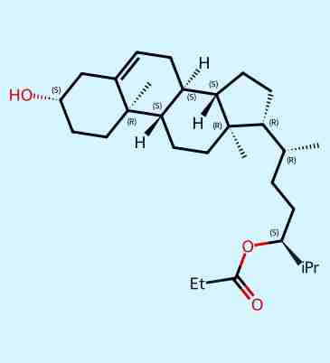 CCC(=O)O[C@@H](CC[C@@H](C)[C@H]1CC[C@H]2[C@@H]3CC=C4C[C@@H](O)CC[C@]4(C)[C@H]3CC[C@]12C)C(C)C